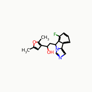 Cc1cc(C(O)CC2c3c(F)cccc3-c3cncn32)c(C)o1